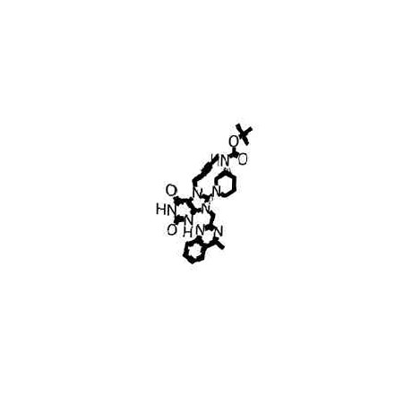 CC#CCN1c2c([nH]c(=O)[nH]c2=O)N(Cc2nc(C)c3ccccc3n2)[C@@H]1N1CCC[C@@H](NC(=O)OC(C)(C)C)C1